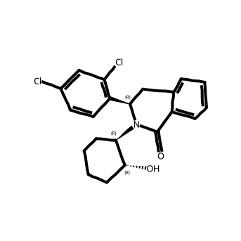 O=C1c2ccccc2C[C@H](c2ccc(Cl)cc2Cl)N1[C@@H]1CCCC[C@H]1O